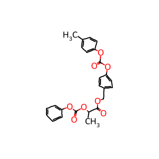 Cc1ccc(OC(=O)Oc2ccc(COC(=O)C(C)OC(=O)Oc3ccccc3)cc2)cc1